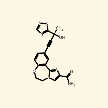 C[C@@](O)(C#Cc1ccc2c(c1)-c1nc(C(N)=O)cn1CCO2)c1ncns1